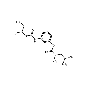 CCC(C)OC(=O)Nc1cccc(OC(=O)N(C)CC(C)C)c1